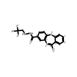 O=C(NNCC(F)(F)F)c1ccc2c(c1)N=C(Cl)c1ccccc1S2